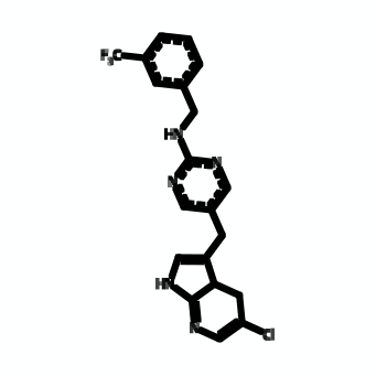 FC(F)(F)c1cccc(CNc2ncc(CC3=CNC4=NC=C(Cl)CC34)cn2)c1